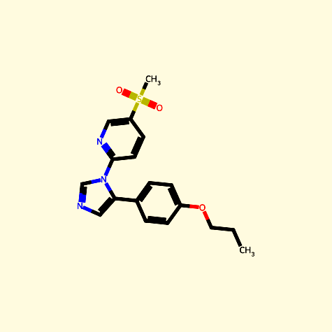 CCCOc1ccc(-c2cncn2-c2ccc(S(C)(=O)=O)cn2)cc1